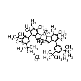 CC1=Cc2c(-c3cc(C(C)(C)C)cc(C(C)(C)C)c3)c(C)c(C)c(C)c2[CH]1[Zr+2]1([CH]2C(C)=Cc3c(-c4cc(C(C)(C)C)cc(C(C)(C)C)c4)c(C)c(C)c(C)c32)[CH2][CH2]1.[Cl-].[Cl-]